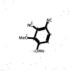 [C-]#[N+]c1ccc(OC)c(OC)c1C#N